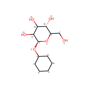 OCC1O[C@@H](OC2CCCCC2)C(O)C(O)[C@@H]1O